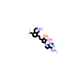 Nc1ncnc2c1ccn2[C@@H]1C=C(CCc2ccc(C(F)F)c3c2CNCC3)[C@@H](O)[C@H]1O